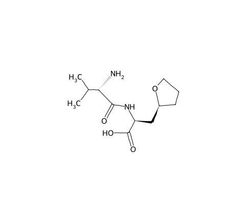 CC(C)[C@H](N)C(=O)N[C@@H](C[C@@H]1CCCO1)C(=O)O